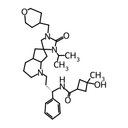 CC(C)N1C(=O)N(CC2CCOCC2)CC12CC1CCCN(CC[C@H](NC(=O)C3CC(C)(O)C3)c3ccccc3)C1C2